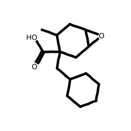 CC1CC2OC2CC1(CC1CCCCC1)C(=O)O